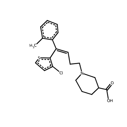 Cc1ccccc1C(=CCCN1CCCC(C(=O)O)C1)c1sccc1Cl